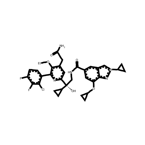 CCOc1c(CC(N)=O)cc([C@@](O)(CNC(=O)c2cc(OC3CC3)c3nn(C4CC4)cc3c2)C2CC2)nc1-c1ccc(F)c(F)c1Cl